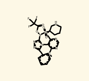 COc1ncnc(OC)c1-n1c(-c2ccccc2)nnc1N(OC(=O)C(F)(F)F)S(=O)(=O)[C@@H]1CCCNC1